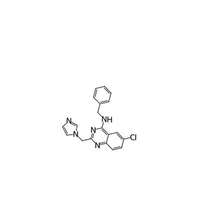 Clc1ccc2nc(Cn3ccnc3)nc(NCc3ccccc3)c2c1